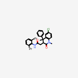 CC(C)c1cccc(C(C)C)c1NC(=O)CC1C(=O)N(C)c2ccc(Cl)cc2C1(C)c1ccccc1